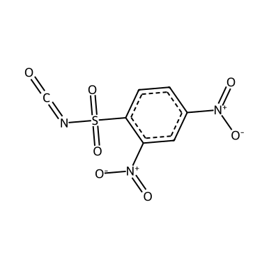 O=C=NS(=O)(=O)c1ccc([N+](=O)[O-])cc1[N+](=O)[O-]